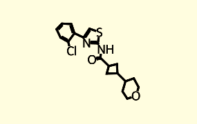 O=C(Nc1nc(-c2ccccc2Cl)cs1)C1CC(C2CCOCC2)C1